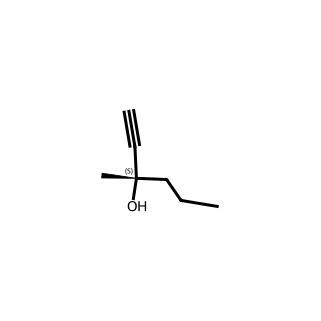 C#C[C@@](C)(O)CCC